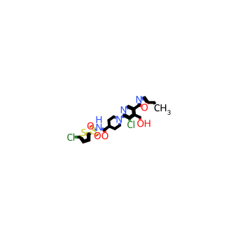 CCc1cnc(-c2cnc(N3CCC(C(=O)NS(=O)(=O)c4ccc(Cl)s4)CC3)c(Cl)c2CO)o1